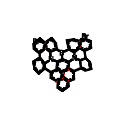 Brc1ccc2c(c1)N(c1c(-c3ccccc3)cccc1-c1ccccc1)c1cc(-c3ccccc3)cc3c1B2c1ccc(Br)cc1N3C1C(c2ccccc2)=CC=CC1c1ccccc1